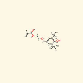 C=C(C)C(=O)OCCOCc1cc(C(C)(C)C)c(O)c(C(C)(C)C)c1